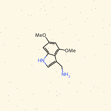 COc1cc(OC)c2c(CN)c[nH]c2c1